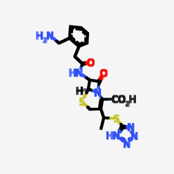 CC(Sc1nnn[nH]1)C1=C(C(=O)O)N2C(=O)C(NC(=O)Cc3ccccc3CN)[C@@H]2SC1